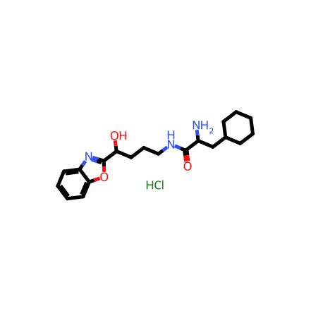 Cl.NC(CC1CCCCC1)C(=O)NCCCC(O)c1nc2ccccc2o1